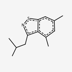 Cc1cc(C)c2c(CC(C)C)nsc2c1